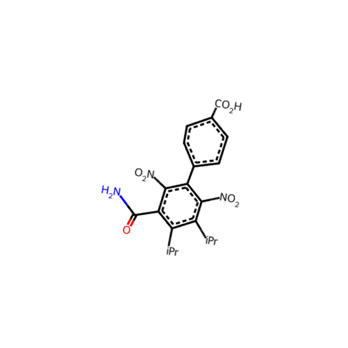 CC(C)c1c(C(N)=O)c([N+](=O)[O-])c(-c2ccc(C(=O)O)cc2)c([N+](=O)[O-])c1C(C)C